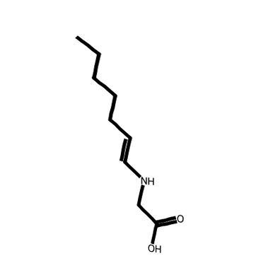 CCCCC/C=C/NCC(=O)O